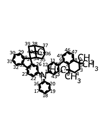 CC1(C)CCC(C)(C)c2c(-c3ccc(N(c4ccccc4)c4ccc5c(c4)C4(c6ccccc6-5)C5CC6CC7CC4C75C6)cc3)cccc21